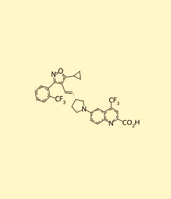 O=C(O)c1cc(C(F)(F)F)c2cc(N3CC[C@H](/C=C/c4c(-c5ccccc5C(F)(F)F)noc4C4CC4)C3)ccc2n1